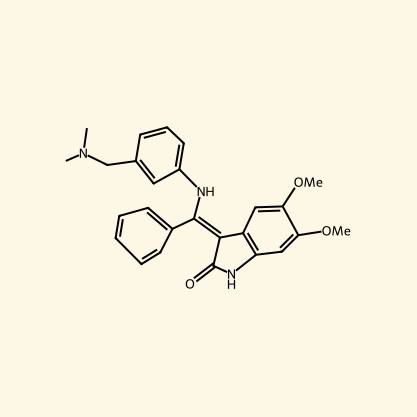 COc1cc2c(cc1OC)C(=C(Nc1cccc(CN(C)C)c1)c1ccccc1)C(=O)N2